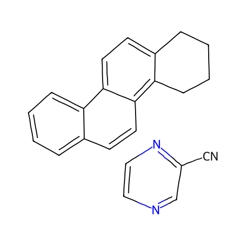 N#Cc1cnccn1.c1ccc2c(c1)ccc1c3c(ccc12)CCCC3